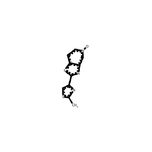 Cc1nc(-c2nc3c[n+]([O-])ccc3s2)cs1